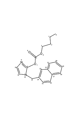 CCCCOC(=O)Oc1nccn1Cc1ccc2ccccc2c1